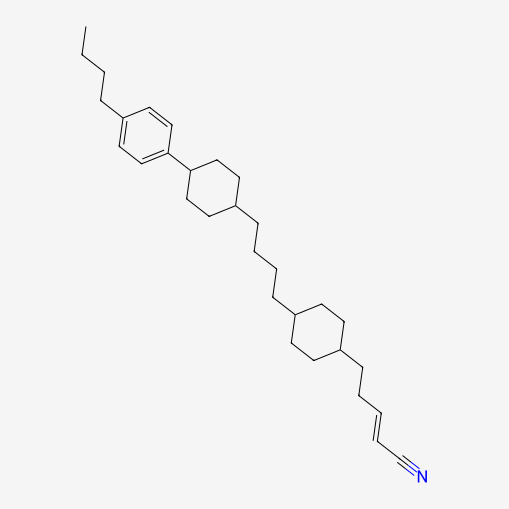 CCCCc1ccc(C2CCC(CCCCC3CCC(CCC=CC#N)CC3)CC2)cc1